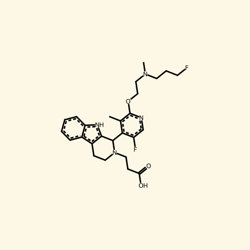 Cc1c(OCCN(C)CCCF)ncc(F)c1C1c2[nH]c3ccccc3c2CCN1CCC(=O)O